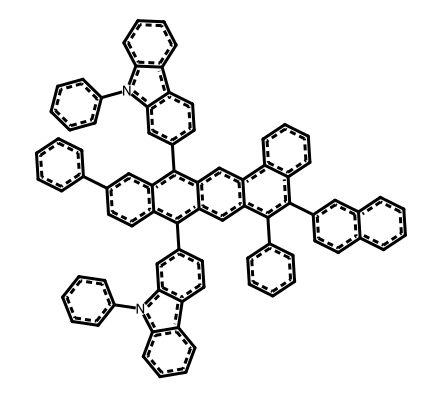 c1ccc(-c2ccc3c(-c4ccc5c6ccccc6n(-c6ccccc6)c5c4)c4cc5c(-c6ccccc6)c(-c6ccc7ccccc7c6)c6ccccc6c5cc4c(-c4ccc5c6ccccc6n(-c6ccccc6)c5c4)c3c2)cc1